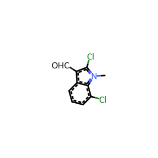 Cn1c(Cl)c(C=O)c2cccc(Cl)c21